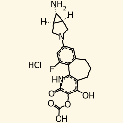 Cl.N[C@@H]1[C@H]2CN(c3cc(F)c4c(c3)CCCc3c-4[nH]c(=O)c(OC(=O)O)c3O)C[C@@H]12